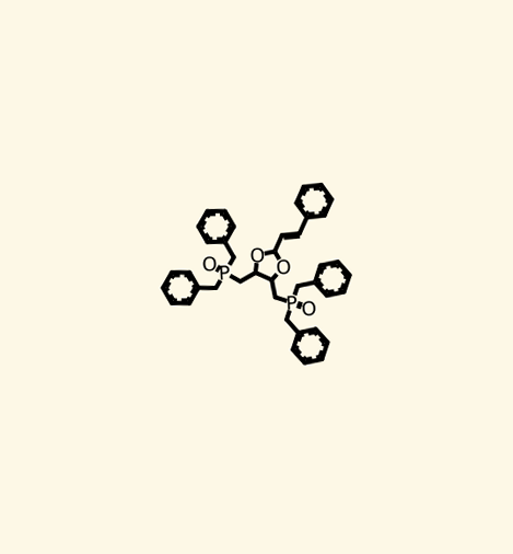 O=P(Cc1ccccc1)(Cc1ccccc1)CC1OC(C=Cc2ccccc2)OC1CP(=O)(Cc1ccccc1)Cc1ccccc1